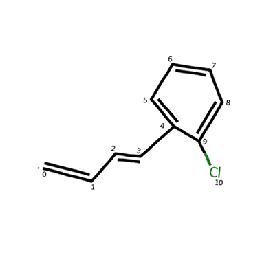 [CH]=CC=Cc1ccccc1Cl